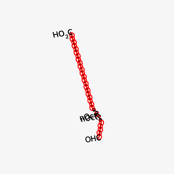 CCCCCCCCC1(CCCCCCCC)c2cc(-c3ccc(OCCOCCOCCOCCOC=O)cc3)ccc2-c2ccc(-c3ccc(OCCOCCOCCOCCOCCOCCOCCOCCOCCOCCOCCOCCOCCOCCOCCOCCOCCOCCOCCOCCOCCOCCC(=O)O)cc3)cc21